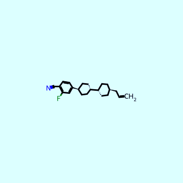 C=CC[C@H]1CC[C@H]([C@H]2CC[C@H](c3ccc(C#N)c(F)c3)CC2)CC1